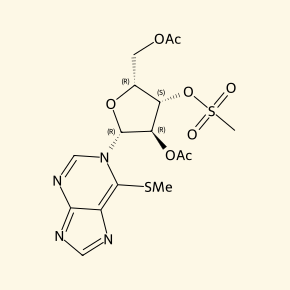 CSc1c2ncnc-2ncn1[C@@H]1O[C@H](COC(C)=O)[C@H](OS(C)(=O)=O)[C@H]1OC(C)=O